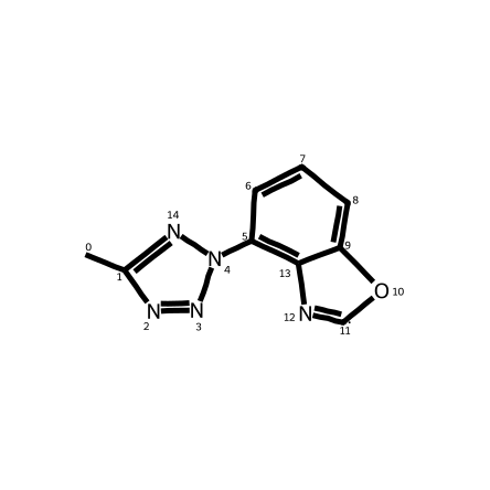 Cc1nnn(-c2cccc3o[c]nc23)n1